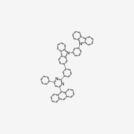 c1ccc(-c2cc(-c3c4ccccc4cc4ccccc34)nc(-c3cccc(-c4ccc5c6ccccc6n(-c6cccc(-n7c8ccccc8c8ccccc87)c6)c5c4)c3)n2)cc1